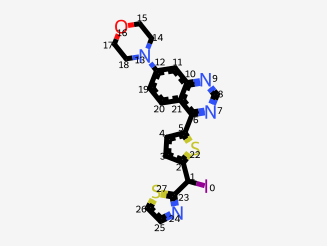 IC(c1ccc(-c2ncnc3cc(N4CCOCC4)ccc23)s1)c1nccs1